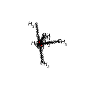 CCCCCCCCCCCCCCCC(=O)C(O)C(C(=O)O)(C(=O)CCCCCCCCCCCCCCC)N(C(=O)CCCCCCCCCCCCCCC)C(=O)C(N)CSCC(O)CO